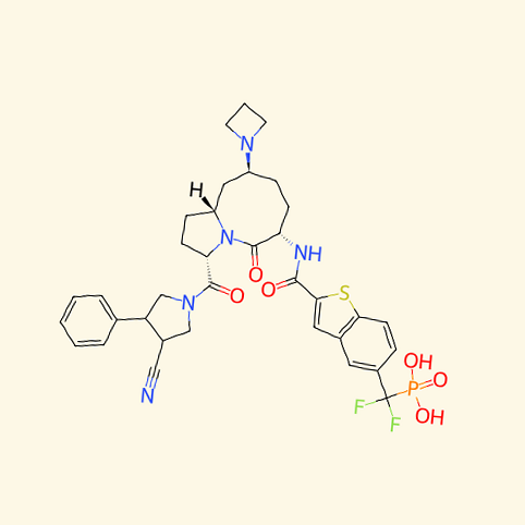 N#CC1CN(C(=O)[C@@H]2CC[C@@H]3C[C@@H](N4CCC4)CC[C@H](NC(=O)c4cc5cc(C(F)(F)P(=O)(O)O)ccc5s4)C(=O)N32)CC1c1ccccc1